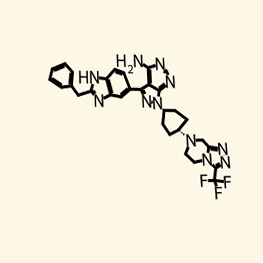 Nc1ncnc2c1c(-c1ccc3[nH]c(Cc4ccccc4)nc3c1)nn2[C@H]1CC[C@@H](N2CCn3c(nnc3C(F)(F)F)C2)CC1